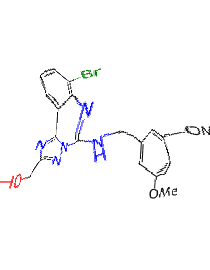 COc1cc(CNc2nc3c(Br)cccc3c3nc(CO)nn23)cc(OC)c1